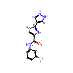 O=C(Nc1cccc(Cl)c1)c1csc(-c2cn[nH]c2)n1